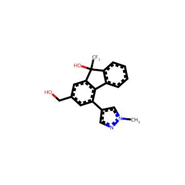 Cn1cc(-c2cc(CO)cc3c2-c2ccccc2C3(O)C(F)(F)F)cn1